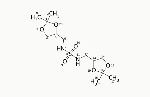 CC1(C)OCC(CNS(=O)(=O)NCC2COC(C)(C)O2)O1